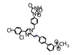 CS(=O)(=O)c1cccc(-c2ccc(/C=C/c3nc(-c4ccc(Cl)cc4Cl)cn3Cc3ccc(N4CC(=O)NS4(=O)=O)cc3)cc2)c1